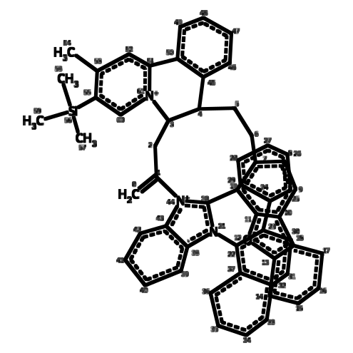 C=C1CC2C(CCc3ccc4c(oc5ccccc54)c3-c3n(-c4c(-c5ccccc5)ccc5ccccc45)c4ccccc4[n+]31)c1ccccc1-c1cc(C)c([Si](C)(C)C)c[n+]12